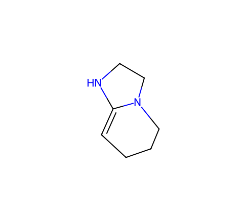 C1=C2NCCN2CCC1